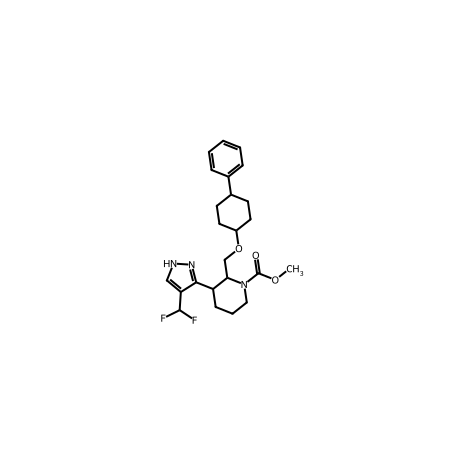 COC(=O)N1CCCC(c2n[nH]cc2C(F)F)C1COC1CCC(c2ccccc2)CC1